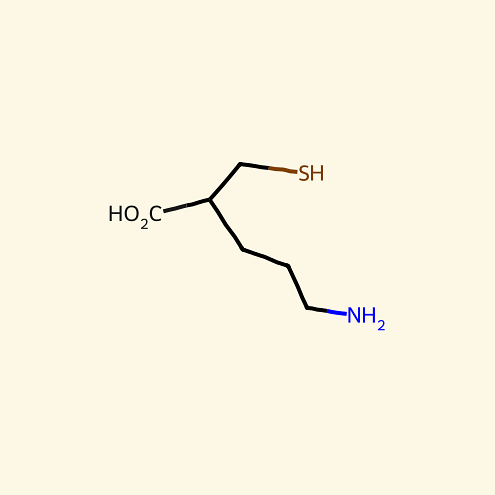 NCCCC(CS)C(=O)O